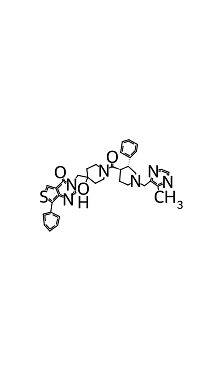 Cc1nccnc1CN1CC[C@@H](C(=O)N2CCC(O)(Cn3cnc4c(-c5ccccc5)scc4c3=O)CC2)[C@H](c2ccccc2)C1